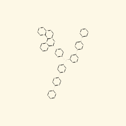 c1ccc(-c2ccc(-c3ccc(N(c4ccc(-c5cc6ccc7ccccc7c6c6ccccc56)cc4)c4cccc(-c5ccc(-c6ccccc6)cc5)c4)cc3)cc2)cc1